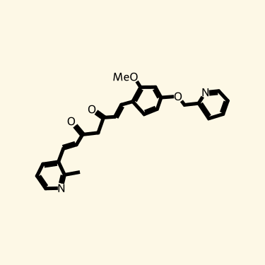 COc1cc(OCc2ccccn2)ccc1/C=C/C(=O)CC(=O)/C=C/c1cccnc1C